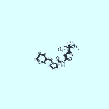 CC(C)(C)c1cc(NC(=O)[C@@H]2CCCN2CC2CCCOC2)on1